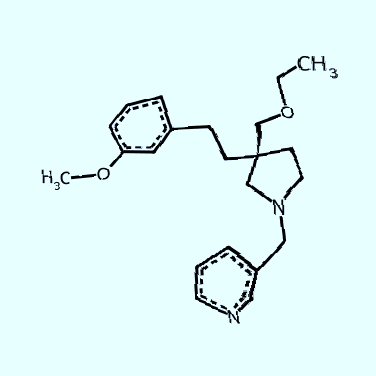 CCOC[C@@]1(CCc2cccc(OC)c2)CCN(Cc2cccnc2)C1